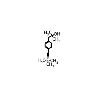 CC(C)(O)Cc1ccc(C#C[Si](C)(C)C)cc1